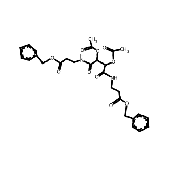 CC(=O)OC(C(=O)NCCC(=O)OCc1ccccc1)C(OC(C)=O)C(=O)NCCC(=O)OCc1ccccc1